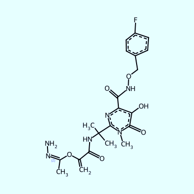 C=C(O/C(C)=N\N)C(=O)NC(C)(C)c1nc(C(=O)NOCc2ccc(F)cc2)c(O)c(=O)n1C